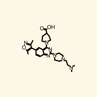 Cc1noc(C)c1-c1ccc2nc(N3CCN(CCN(C)C)CC3)nc(N3CCC(C(=O)O)CC3)c2c1